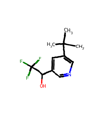 CC(C)(C)c1cncc(C(O)C(F)(F)F)c1